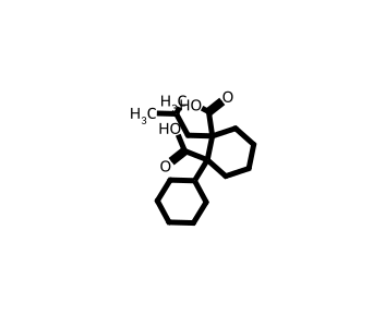 CC(C)CC1(C(=O)O)CCCCC1(C(=O)O)C1CCCCC1